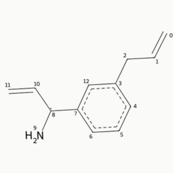 C=CCc1cccc([C](N)C=C)c1